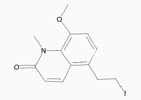 COc1ccc(CCI)c2ccc(=O)n(C)c12